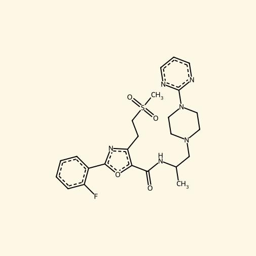 CC(CN1CCN(c2ncccn2)CC1)NC(=O)c1oc(-c2ccccc2F)nc1CCS(C)(=O)=O